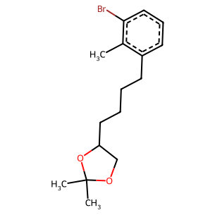 Cc1c(Br)cccc1CCCCC1COC(C)(C)O1